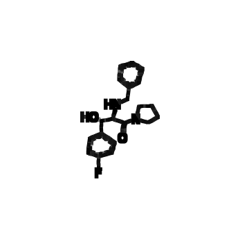 O=C([C@H](NCc1ccccc1)[C@@H](O)c1ccc(F)cc1)N1CCCC1